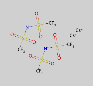 O=S(=O)([N-]S(=O)(=O)C(F)(F)F)C(F)(F)F.O=S(=O)([N-]S(=O)(=O)C(F)(F)F)C(F)(F)F.[Cs+].[Cs+]